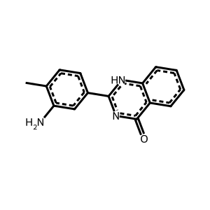 Cc1ccc(-c2nc(=O)c3ccccc3[nH]2)cc1N